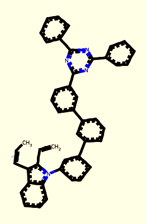 C=Cc1c(/C=C\C)c2ccccc2n1-c1cccc(-c2cccc(-c3cccc(-c4nc(-c5ccccc5)nc(-c5ccccc5)n4)c3)c2)c1